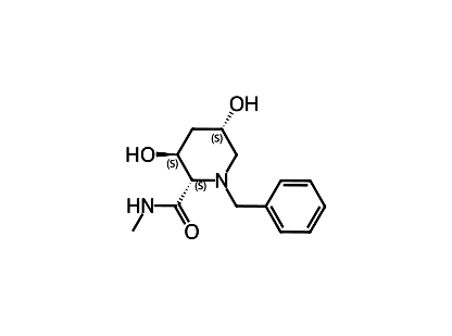 CNC(=O)[C@@H]1[C@@H](O)C[C@H](O)CN1Cc1ccccc1